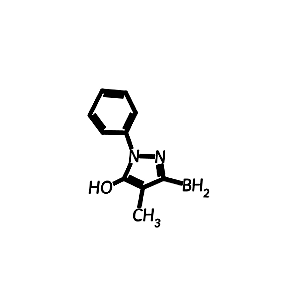 Bc1nn(-c2ccccc2)c(O)c1C